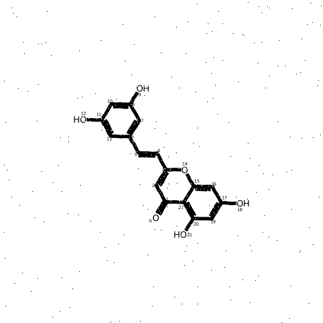 O=c1cc(/C=C/c2cc(O)cc(O)c2)oc2cc(O)cc(O)c12